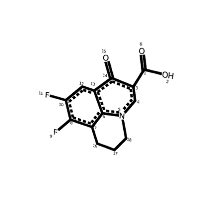 O=C(O)c1cn2c3c(c(F)c(F)cc3c1=O)CCC2